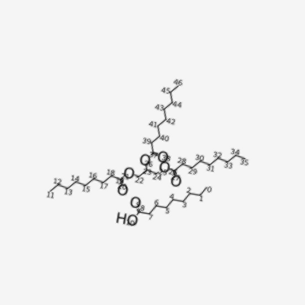 CCCCCCCCC(=O)O.CCCCCCCCC(=O)OCC(COC(=O)CCCCCCCC)OC(=O)CCCCCCCC